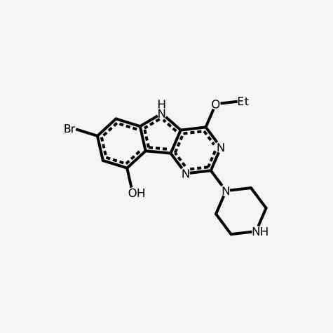 CCOc1nc(N2CCNCC2)nc2c1[nH]c1cc(Br)cc(O)c12